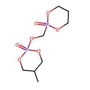 CC1COP(=O)(OCP2(=O)OCCCO2)OC1